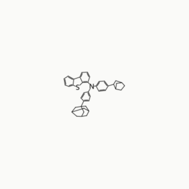 c1ccc2c(c1)sc1c(N(c3ccc(C4CC5CCC4C5)cc3)c3ccc(C45CC6CC(CC(C6)C4)C5)cc3)cccc12